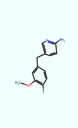 COc1cc(Cc2ccc(N)nc2)ccc1F